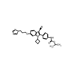 CC(C)OC(=O)Nc1ccc(-c2c(C#N)c3ccc(OCCCn4cncn4)cc3n2C2CCC2)cc1